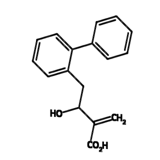 C=C(C(=O)O)C(O)Cc1ccccc1-c1ccccc1